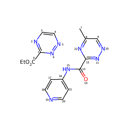 CCOC(=O)c1nccnn1.Cc1cnnc(C(=O)Nc2ccncc2)n1